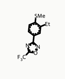 CCc1cc(-c2noc(C(F)(F)F)n2)ccc1SC